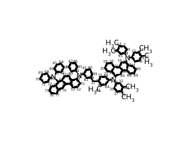 Cc1ccc(N(c2ccc(C)c(C)c2)c2cc3c4ccccc4c(N(c4ccc(C)c(C)c4)c4ccc(Cc5cccc(N(c6ccccc6)c6cccc7c6ccc6c(N(c8ccccc8)c8ccccc8)c8ccccc8cc67)c5)c(C)c4)cc3c3ccccc23)cc1C